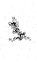 CCOC(=O)c1sc(N2CC[C@@H](NC(=O)c3[nH]c(Cl)c(C)c3Cl)[C@@H](OC)C2)nc1-c1ncnn1CCOC